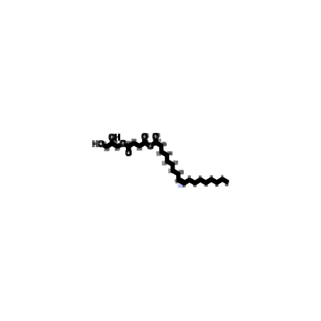 CCCCCCCC/C=C\CCCCCCCC(=O)OC(=O)CCC(=O)OCC(O)CO